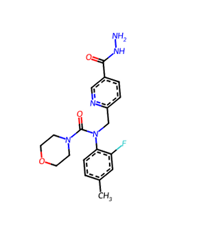 Cc1ccc(N(Cc2ccc(C(=O)NN)cn2)C(=O)N2CCOCC2)c(F)c1